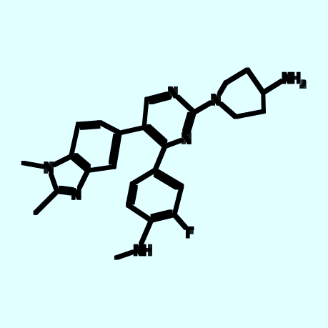 CNc1ccc(-c2nc(N3CCC(N)CC3)ncc2-c2ccc3c(c2)nc(C)n3C)cc1F